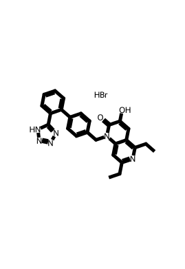 Br.CCc1cc2c(cc(O)c(=O)n2Cc2ccc(-c3ccccc3-c3nnn[nH]3)cc2)c(CC)n1